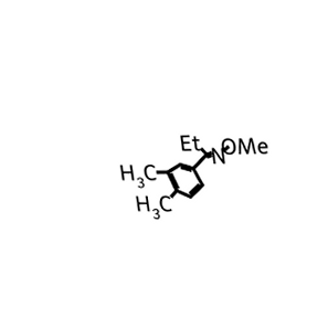 CC/C(=N\OC)c1ccc(C)c(C)c1